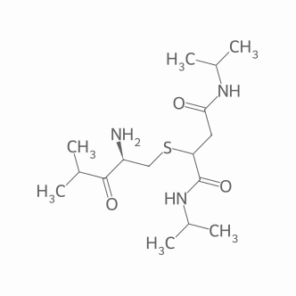 CC(C)NC(=O)CC(SC[C@H](N)C(=O)C(C)C)C(=O)NC(C)C